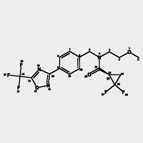 COCCN(Cc1ccc(-c2noc(C(F)(F)F)n2)cc1)C(=O)[C@H]1CC1(F)F